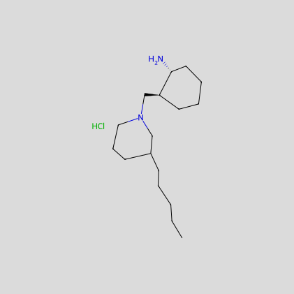 CCCCCC1CCCN(C[C@@H]2CCCC[C@H]2N)C1.Cl